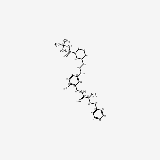 CC(C)(C)OC(=O)N1CCCC(CCOc2ccc(F)c(CNC(=O)C(N)CCc3ccccc3)c2)C1